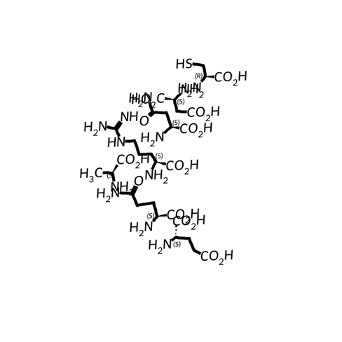 C[C@H](N)C(=O)O.N=C(N)NCCC[C@H](N)C(=O)O.NC(=O)CC[C@H](N)C(=O)O.NC(=O)C[C@H](N)C(=O)O.N[C@@H](CC(=O)O)C(=O)O.N[C@@H](CCC(=O)O)C(=O)O.N[C@@H](CS)C(=O)O